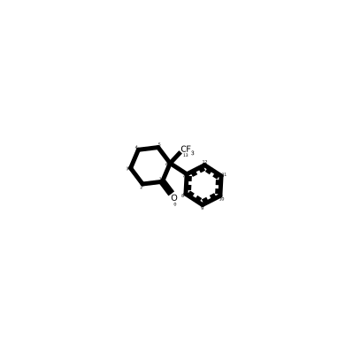 O=C1CCCCC1(c1ccccc1)C(F)(F)F